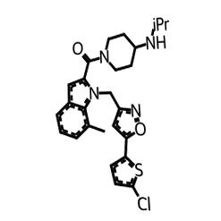 Cc1cccc2cc(C(=O)N3CCC(NC(C)C)CC3)n(Cc3cc(-c4ccc(Cl)s4)on3)c12